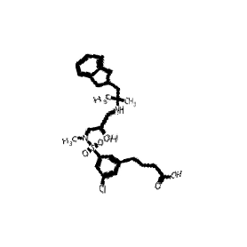 CN(CC(O)CNC(C)(C)CC1Cc2ccccc2C1)S(=O)(=O)c1cc(Cl)cc(CCCC(=O)O)c1